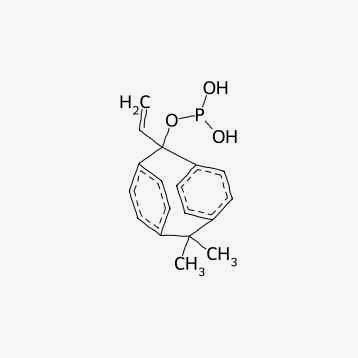 C=CC1(OP(O)O)c2ccc(cc2)C(C)(C)c2ccc1cc2